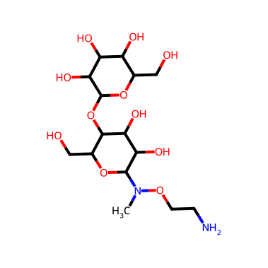 CN(OCCN)C1OC(CO)C(OC2OC(CO)C(O)C(O)C2O)C(O)C1O